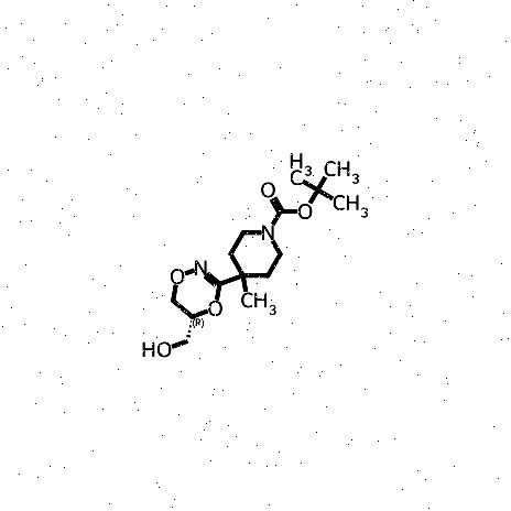 CC(C)(C)OC(=O)N1CCC(C)(C2=NOC[C@@H](CO)O2)CC1